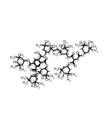 CN1C(C)(C)CC(OC(=O)CC(C(=O)OC2CC(C)(C)N(C)C(C)(C)C2)C(=O)OC2CC(C)(C)N(C)C(C)(CCC3(C)CC(OC(O)c4cc(C(=O)OC5CC(C)(C)NC(C)(C)C5)c(C(=O)OC5CC(C)(C)NC(C)(C)C5)cc4C(=O)OC4CC(C)(C)NC(C)(C)C4)CC(C)(C)N3)C2)CC1(C)C